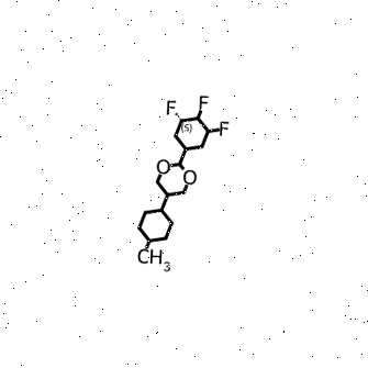 CC1CCC(C2COC(C3CC(F)C(F)[C@@H](F)C3)OC2)CC1